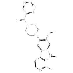 COc1cc2c(cc1N1CCN(C(=O)c3cncnc3)CC1)c1ccnc(C)c1n2C